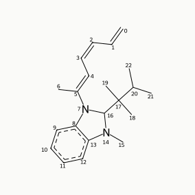 C=C/C=C\C=C(/C)N1c2ccccc2N(C)C1C(C)(C)C(C)C